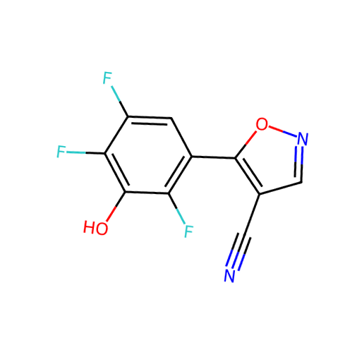 N#Cc1cnoc1-c1cc(F)c(F)c(O)c1F